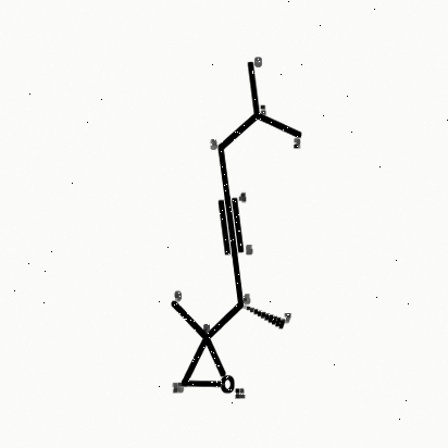 CC(C)CC#C[C@H](C)C1(C)CO1